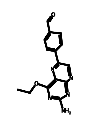 CCOc1nc(N)nc2ncc(-c3ccc(C=O)cc3)nc12